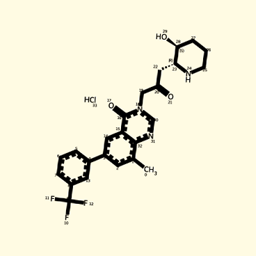 Cc1cc(-c2cccc(C(F)(F)F)c2)cc2c(=O)n(CC(=O)C[C@H]3NCCC[C@@H]3O)cnc12.Cl